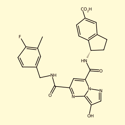 Cc1cc(CNC(=O)c2cc(C(=O)N[C@H]3CCc4cc(C(=O)O)ccc43)n3ncc(O)c3n2)ccc1F